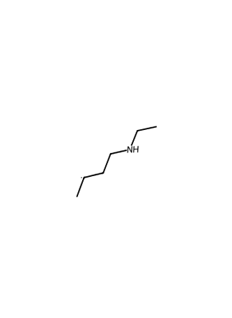 C[CH]CCNCC